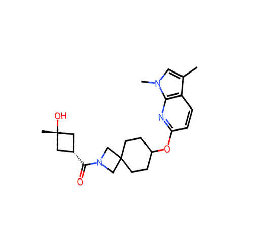 Cc1cn(C)c2nc(OC3CCC4(CC3)CN(C(=O)[C@H]3C[C@@](C)(O)C3)C4)ccc12